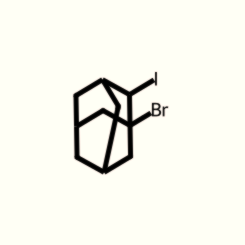 BrC12CC3CC(CC(C3)C1I)C2